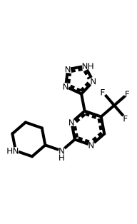 FC(F)(F)c1cnc(NC2CCCNC2)nc1-c1nn[nH]n1